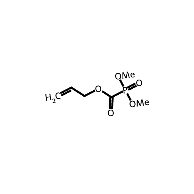 C=CCOC(=O)P(=O)(OC)OC